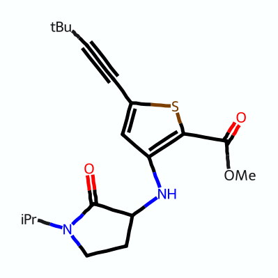 COC(=O)c1sc(C#CC(C)(C)C)cc1NC1CCN(C(C)C)C1=O